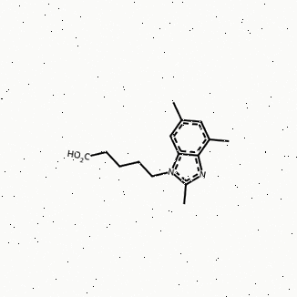 Cc1cc(C)c2nc(C)n(CCCCC(=O)O)c2c1